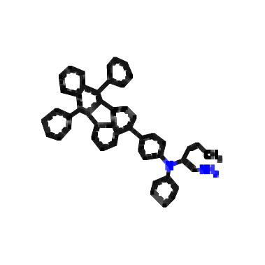 C/C=C\C(=C/N)N(c1ccccc1)c1ccc(-c2ccc3c4c(cccc24)-c2c-3c(-c3ccccc3)c3ccccc3c2-c2ccccc2)cc1